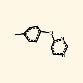 Cc1ccc(Oc2c[c]ncn2)cc1